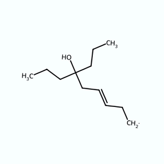 [CH2]C/C=C/CC(O)(CCC)CCC